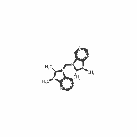 C[C@@H]1N(C)c2ncncc2N1CN1c2cncnc2N(C)[C@@H]1C